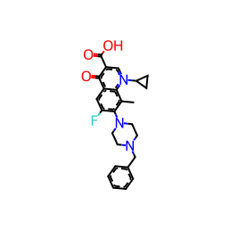 Cc1c(N2CCN(Cc3ccccc3)CC2)c(F)cc2c(=O)c(C(=O)O)cn(C3CC3)c12